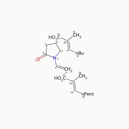 C=CN1CCCC1=O.CCCCC=C(C)C(=O)O.CCCCCC=C(C)C(=O)O